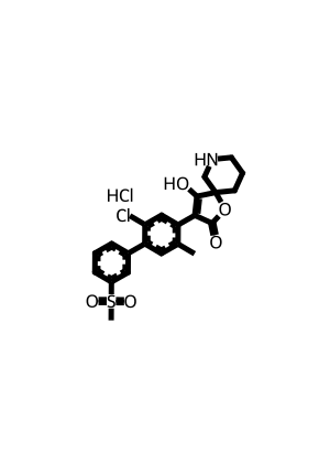 Cc1cc(-c2cccc(S(C)(=O)=O)c2)c(Cl)cc1C1=C(O)C2(CCCNC2)OC1=O.Cl